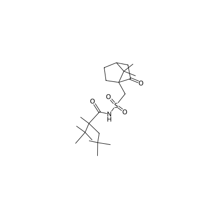 CC(C)(C)CC(C)(C(=O)NS(=O)(=O)CC12CCC(CC1=O)C2(C)C)C(C)(C)C